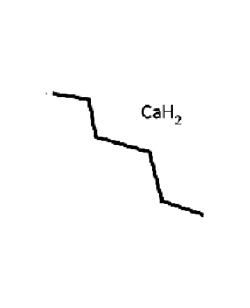 [CH2]CCCCC.[CaH2]